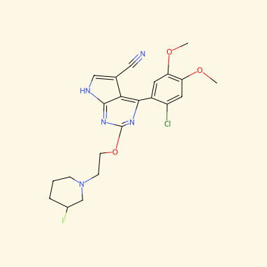 COc1cc(Cl)c(-c2nc(OCCN3CCCC(F)C3)nc3[nH]cc(C#N)c23)cc1OC